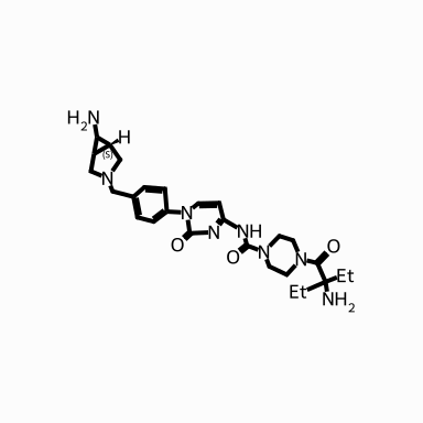 CCC(N)(CC)C(=O)N1CCN(C(=O)Nc2ccn(-c3ccc(CN4CC5C(N)[C@@H]5C4)cc3)c(=O)n2)CC1